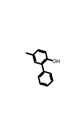 [CH2]c1ccc(O)c(-c2ccccc2)c1